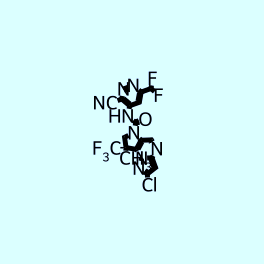 C[C@@]1(C(F)(F)F)CN(C(=O)Nc2cc(C(F)F)nnc2C#N)c2cnc3cc(Cl)nn3c21